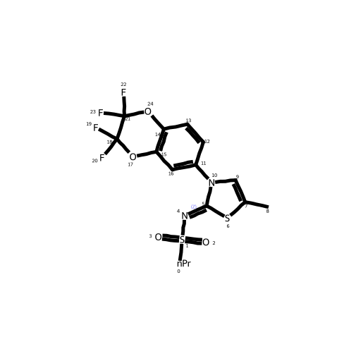 CCCS(=O)(=O)/N=c1\sc(C)cn1-c1ccc2c(c1)OC(F)(F)C(F)(F)O2